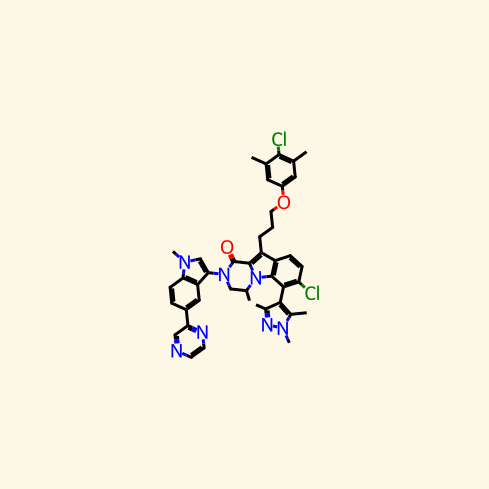 Cc1cc(OCCCc2c3n(c4c(-c5c(C)nn(C)c5C)c(Cl)ccc24)C(C)CN(c2cn(C)c4ccc(-c5cnccn5)cc24)C3=O)cc(C)c1Cl